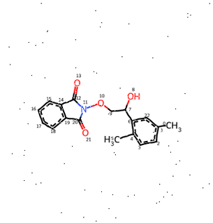 Cc1ccc(C)c(C(O)CON2C(=O)c3ccccc3C2=O)c1